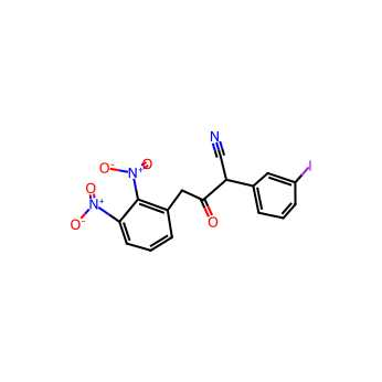 N#CC(C(=O)Cc1cccc([N+](=O)[O-])c1[N+](=O)[O-])c1cccc(I)c1